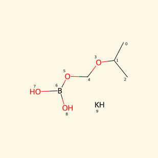 CC(C)OCOB(O)O.[KH]